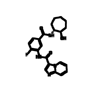 O=C(N[C@@H]1CCCCC[C@H]1O)c1ccc(F)c(NC(=O)c2cnc3ccccn23)c1